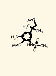 COc1c(N)cc(C(C)(C)COC(C)=O)cc1NS(C)(=O)=O